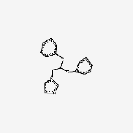 c1ccc(SC(Cn2ccnc2)Sc2ccccc2)cc1